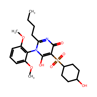 CCCCc1nc(=O)c(S(=O)(=O)C2CCC(O)CC2)c(O)n1-c1c(OC)cccc1OC